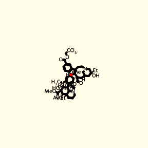 CC[C@]1(O)C[C@H]2CN(CCc3c([nH]c4ccc(C(=O)OCC(Cl)(Cl)Cl)cc34)[C@@](C(=O)OC)(C3C=C4C(=CC3OC)N(C)[C@H]3[C@@](O)(C(=O)OC)[C@H](OC(C)=O)[C@]5(CC)C=CCN6CC[C@]43[C@@H]65)C2)C1